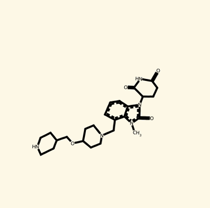 Cn1c(=O)n(C2CCC(=O)NC2=O)c2cccc(CN3CCC(OCC4CCNCC4)CC3)c21